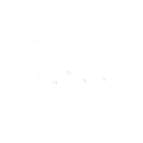 Fc1cc(-c2nc(N3C[CH]NCC3)c3sccc3n2)c(F)cc1Cl